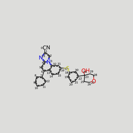 N#Cc1cn2c(cc(-c3ccccc3)c3ccc(Sc4cccc(C5(O)CCOCC5)c4)cc32)n1